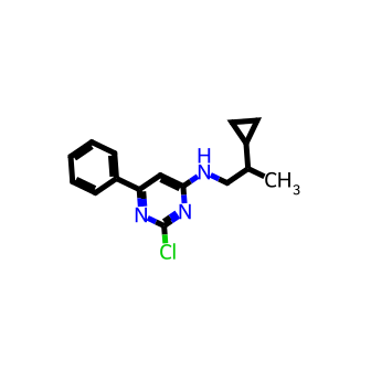 CC(CNc1cc(-c2ccccc2)nc(Cl)n1)C1CC1